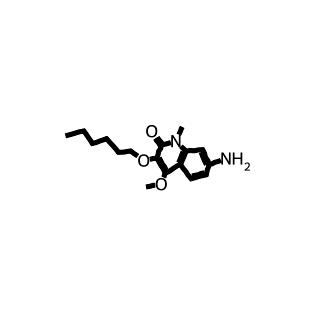 CCCCCCOc1c(OC)c2ccc(N)cc2n(C)c1=O